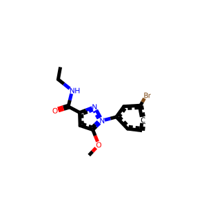 CCNC(=O)c1cc(OC)n(-c2cccc(Br)c2)n1